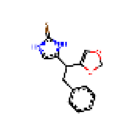 S=c1[nH]cc(C(Cc2ccccc2)C2=COCO2)[nH]1